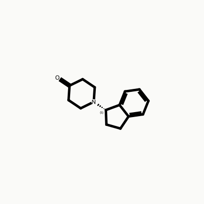 O=C1CCN([C@H]2CCc3ccccc32)CC1